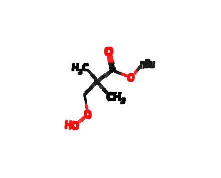 CCCCOC(=O)C(C)(C)COO